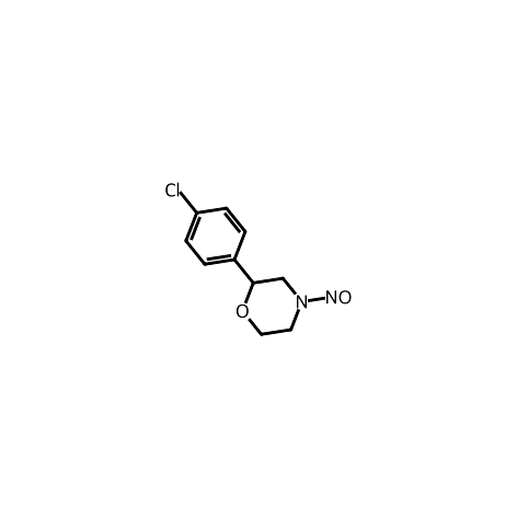 O=NN1CCOC(c2ccc(Cl)cc2)C1